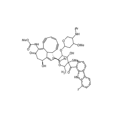 COC(=O)NC1=C2C#C/C=C\C#C[C@H](OC3OC(C)C(SC)(C(=O)c4nccc5c4[nH]c4c(I)cccc45)C(O)C3OC3CC(OC)C(NC(C)C)CO3)C2/C(=C\CSC(C)=O)[C@@H](O)CC1=O